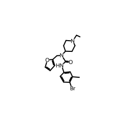 CCN1CCC(N(Cc2ccco2)C(=O)Nc2ccc(Br)c(C)c2)CC1